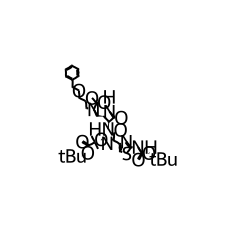 CC(C)(C)OC(=O)Nc1nc(C(=NOC(C)(C)C(=O)OC(C)(C)C)C(=O)N[C@@H]2C(=O)N[C@@H]2CN2CC(COCc3ccccc3)OC2=O)cs1